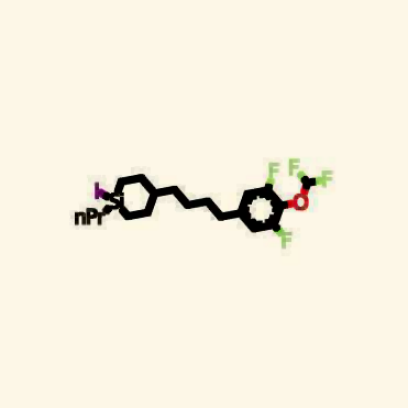 CCC[Si]1(I)CCC(CCCCc2cc(F)c(OC(F)F)c(F)c2)CC1